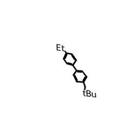 CCc1ccc(-c2ccc(CC(C)(C)C)cc2)cc1